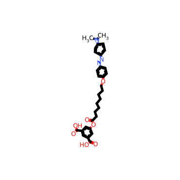 CN(C)c1ccc(N=Nc2ccc(OCCCCCCCCC(=O)Oc3cc(C(=O)O)cc(C(=O)O)c3)cc2)cc1